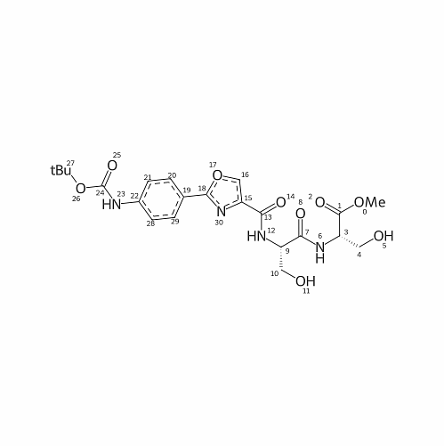 COC(=O)[C@H](CO)NC(=O)[C@H](CO)NC(=O)c1coc(-c2ccc(NC(=O)OC(C)(C)C)cc2)n1